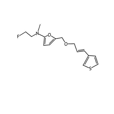 CN(CCF)c1ccc(COC/C=C/c2ccsc2)o1